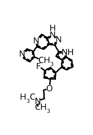 Cc1ccncc1-c1cc2c(-c3cc4c(-c5cc(F)cc(OCCN(C)C)c5)cccc4[nH]3)n[nH]c2cn1